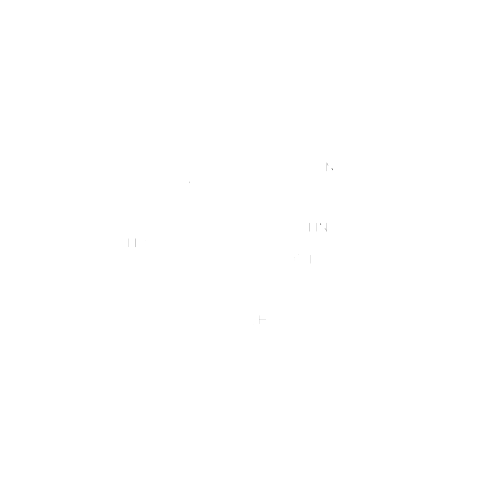 Cc1cc(C)c(C)c(CC2=NCCN2)c1C